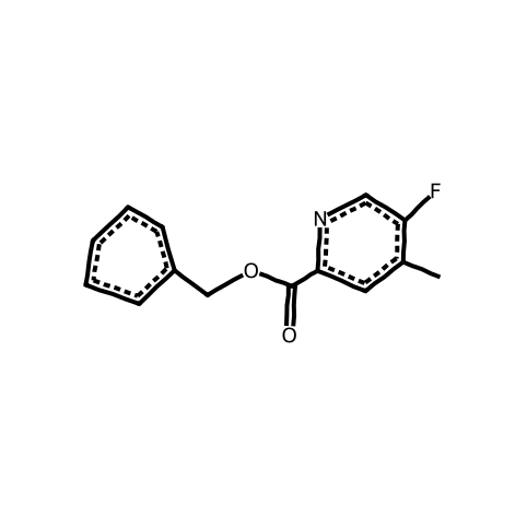 Cc1cc(C(=O)OCc2ccccc2)ncc1F